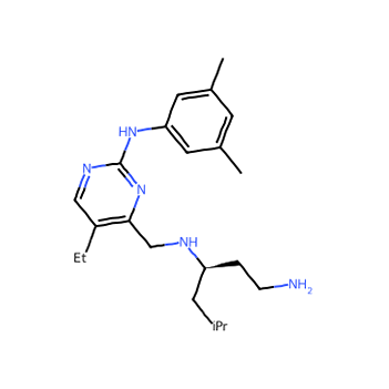 CCc1cnc(Nc2cc(C)cc(C)c2)nc1CN[C@@H](CCN)CC(C)C